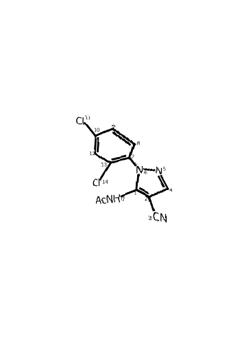 CC(=O)Nc1c(C#N)cnn1-c1ccc(Cl)cc1Cl